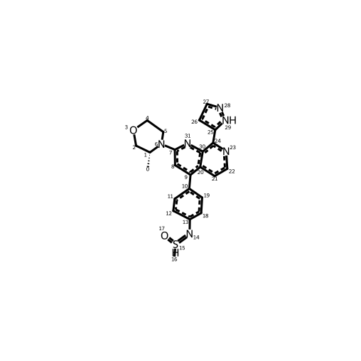 C[C@@H]1COCCN1c1cc(-c2ccc(/N=[SH](/C)=O)cc2)c2ccnc(-c3ccn[nH]3)c2n1